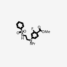 CCCN(CCNS(=O)(=O)c1ccccc1)c1ccc(C(=O)OC)c(F)c1